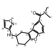 CN(C)C(=O)c1ccc2oc3c(c2c1)CC(Nc1ccon1)CC3